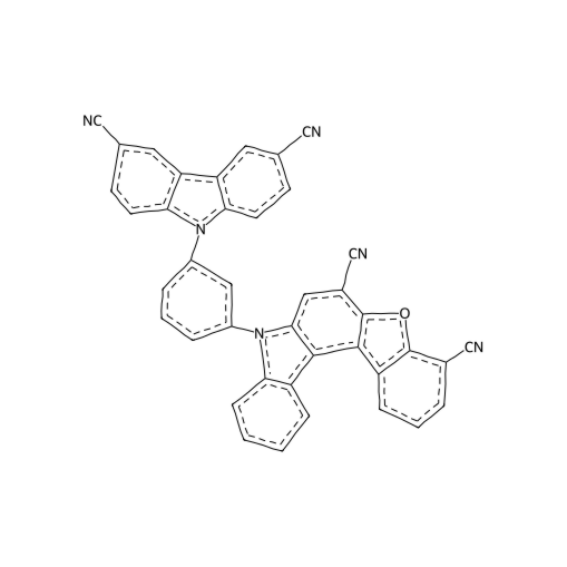 N#Cc1ccc2c(c1)c1cc(C#N)ccc1n2-c1cccc(-n2c3ccccc3c3c4c(oc5c(C#N)cccc54)c(C#N)cc32)c1